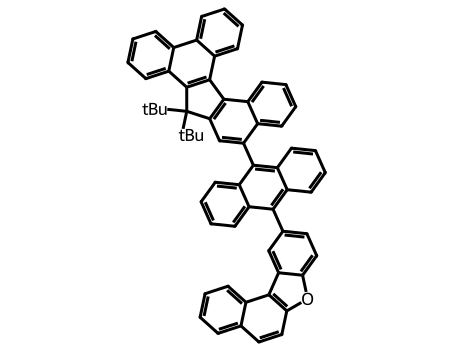 CC(C)(C)C1(C(C)(C)C)c2cc(-c3c4ccccc4c(-c4ccc5oc6ccc7ccccc7c6c5c4)c4ccccc34)c3ccccc3c2-c2c1c1ccccc1c1ccccc21